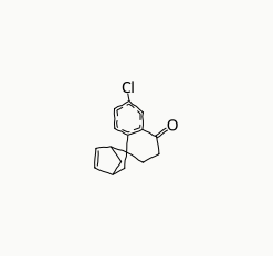 O=C1CCC2(CC3C=CC2C3)c2ccc(Cl)cc21